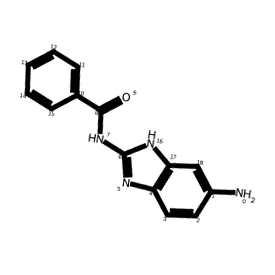 Nc1ccc2nc(NC(=O)c3ccccc3)[nH]c2c1